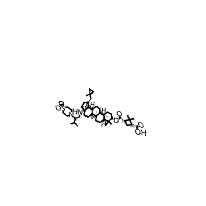 CC(C)[C@H](CN[C@]12CC[C@@H](CC3(C)CC3)[C@@H]1[C@H]1CC[C@@H]3[C@@]4(C)CC[C@H](OC(=O)[C@H]5C[C@@H](C(=O)O)C5(C)C)C(C)(C)[C@@H]4CC[C@@]3(C)[C@]1(C)CC2)N1CCS(=O)(=O)CC1